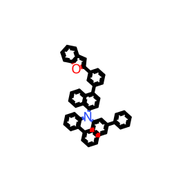 c1ccc(-c2cccc(N(c3ccccc3-c3ccccc3)c3ccc(-c4cccc(-c5cc6ccccc6o5)c4)c4ccccc34)c2)cc1